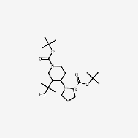 CC(C)(C)OC(=O)[C@@H]1CCCN1C1CCN(C(=O)OC(C)(C)C)CC1C(C)(C)O